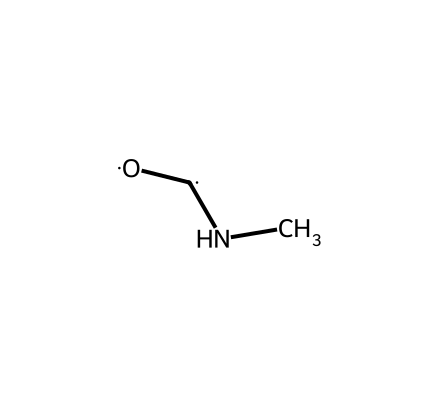 CN[CH][O]